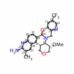 CO[C@@H]1COCC[C@H]1N(Cc1ccc(C(F)(F)F)cn1)C(=O)c1ccc2nc(N)c(C)cc2c1